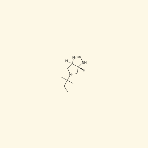 CCC(C)(C)N1C[C@H]2N=CN[C@@H]2C1